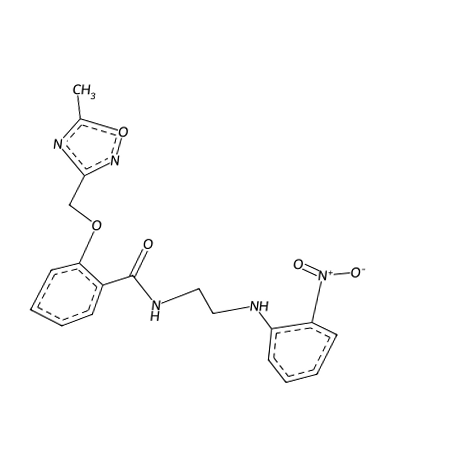 Cc1nc(COc2ccccc2C(=O)NCCNc2ccccc2[N+](=O)[O-])no1